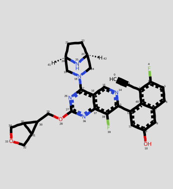 C#Cc1c(F)ccc2cc(O)cc(-c3ncc4c(N5C[C@H]6CC[C@@H](C5)N6)nc(OCC5C6COCC65)nc4c3F)c12